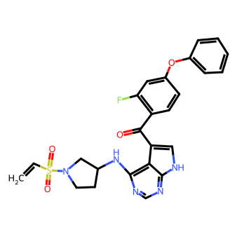 C=CS(=O)(=O)N1CCC(Nc2ncnc3[nH]cc(C(=O)c4ccc(Oc5ccccc5)cc4F)c23)C1